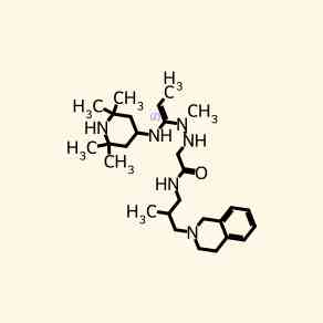 C/C=C(/NC1CC(C)(C)NC(C)(C)C1)N(C)NCC(=O)NCC(C)CN1CCc2ccccc2C1